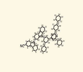 N#Cc1ccc2c(c1)c1ccccc1n2-c1ccc2c3ccccc3n(-c3cc(-c4ccccc4)cc(-c4nc(-c5ccccc5)nc(-c5ccc(-c6ccccc6)cc5)n4)c3)c2c1